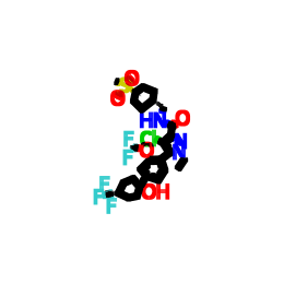 CCn1nc(C(=O)NC[C@H]2CC[C@H](S(C)(=O)=O)CC2)c(Cl)c1-c1ccc([C@]2(O)CC[C@@H](C(F)(F)F)CC2)cc1OC(F)F